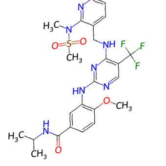 COc1ccc(C(=O)NC(C)C)cc1Nc1ncc(C(F)(F)F)c(NCc2cccnc2N(C)S(C)(=O)=O)n1